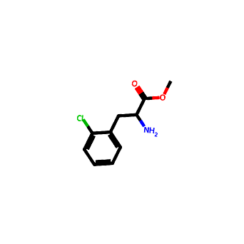 COC(=O)C(N)Cc1ccccc1Cl